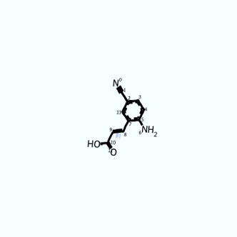 N#Cc1ccc(N)c(/C=C/C(=O)O)c1